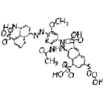 COc1cc(N=Nc2cc3c(S(=O)(=O)O)cc(SOOO)cc3cc2S(=O)(=O)O)c(NC(C)=O)cc1N=Nc1ccc(N)c2c(S(=O)(=O)O)cccc12